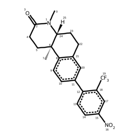 CN1C(=O)CC[C@]2(C)c3ccc(-c4ccc([N+](=O)[O-])cc4C(F)(F)F)cc3CC[C@@H]12